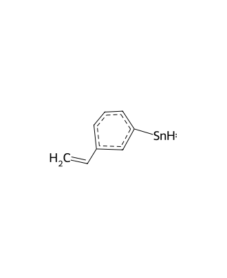 C=Cc1ccc[c]([SnH])c1